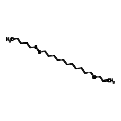 C=CCOCCCCCCCCCCCSSCCCCC